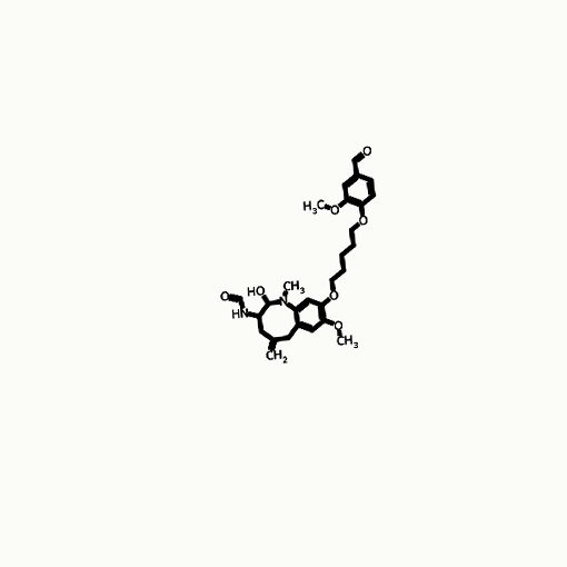 C=C1Cc2cc(OC)c(OCCCCCOc3ccc(C=O)cc3OC)cc2N(C)C(O)C(NC=O)C1